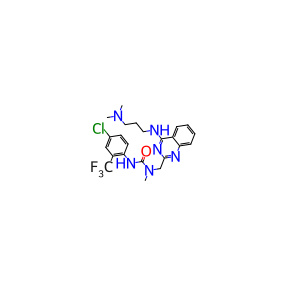 CN(C)CCCNc1nc(CN(C)C(=O)Nc2ccc(Cl)cc2C(F)(F)F)nc2ccccc12